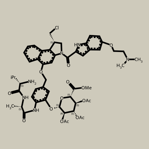 COC(=O)[C@H]1O[C@@H](Oc2cc(COc3cc4c(c5ccccc35)[C@H](CCl)CN4C(=O)c3cc4cc(OCCN(C)C)ccc4[nH]3)ccc2NC(=O)[C@H](C)NC(=O)[C@@H](N)C(C)C)[C@H](OC(C)=O)[C@@H](OC(C)=O)[C@@H]1OC(C)=O